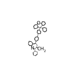 C=C1CC(c2ccc(-c3ccc(C4(c5ccccc5)c5ccccc5Oc5ccccc54)cc3)cc2)=c2ccccc2=NC1C1C=CC=CC1